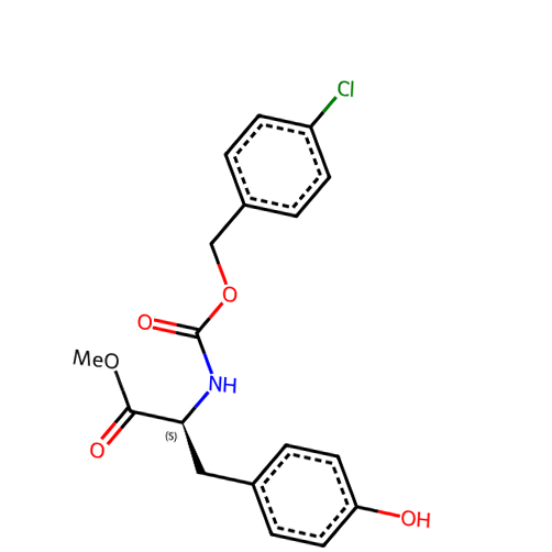 COC(=O)[C@H](Cc1ccc(O)cc1)NC(=O)OCc1ccc(Cl)cc1